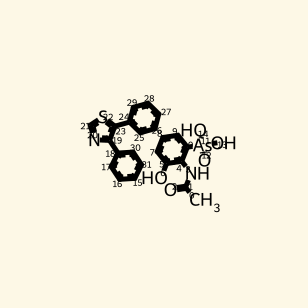 CC(=O)Nc1c(O)cccc1[As](=O)(O)O.c1ccc(-c2ncsc2-c2ccccc2)cc1